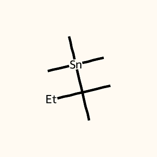 CC[C](C)(C)[Sn]([CH3])([CH3])[CH3]